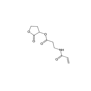 C=CC(=O)NCCC(=O)OC1CCOC1=O